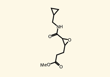 COC(=O)CCC1OC1C(=O)NCC1CC1